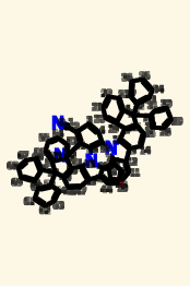 N#Cc1ccc(-n2c3ccccc3c3ccc4c(c32)-c2ccccc2C4(c2ccccc2)c2ccccc2)c(-n2c3ccccc3c3ccc4c(c32)-c2ccccc2C4(c2ccccc2)c2ccccc2)c1C#N